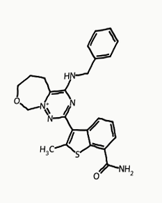 Cc1sc2c(C(N)=O)cccc2c1-c1nc(NCc2ccccc2)c2[n+](n1)COCCC2